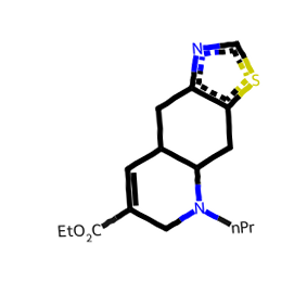 CCCN1CC(C(=O)OCC)=CC2Cc3ncsc3CC21